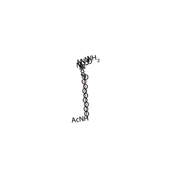 CC(=O)NCCOCCOCCOCCOCCOCCOCCOCCOCCC(=O)N1CCc2cc(Cn3nc(-c4ccc5oc(N)nc5c4)c4c(N(C)C)ncnc43)ccc2C1